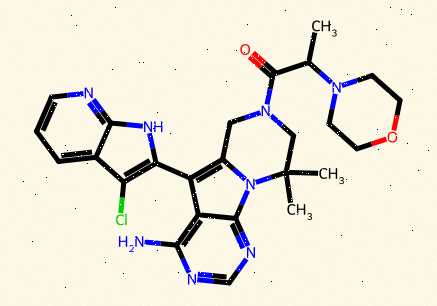 CC(C(=O)N1Cc2c(-c3[nH]c4ncccc4c3Cl)c3c(N)ncnc3n2C(C)(C)C1)N1CCOCC1